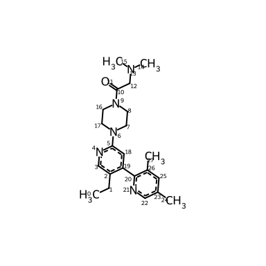 CCc1cnc(N2CCN(C(=O)CN(C)C)CC2)cc1-c1ncc(C)cc1C